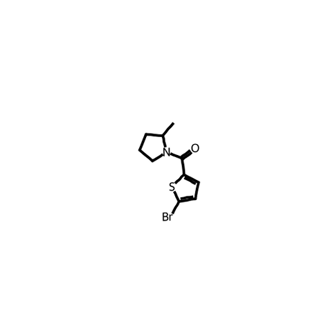 CC1CCCN1C(=O)c1ccc(Br)s1